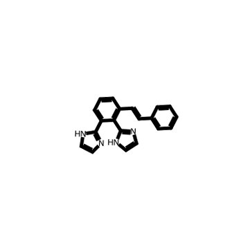 C(=Cc1cccc(-c2ncc[nH]2)c1-c1ncc[nH]1)c1ccccc1